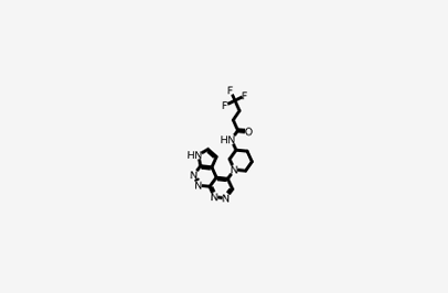 O=C(CCC(F)(F)F)NC1CCCN(c2cnnc3nnc4[nH]ccc4c23)C1